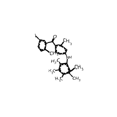 Cc1cc(Nc2c(C)c(C)c(C)c(C)c2C)ccc1C(=O)c1cc(I)ccc1C